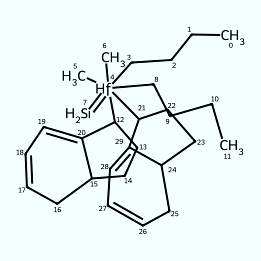 CCC[CH2][Hf]([CH3])([CH3])(=[SiH2])([CH2]CCC)([CH]1CCC2CC=CC=C21)[CH]1CCC2CC=CC=C21